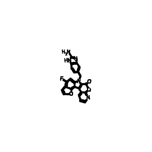 Nc1nc2cc(Cn3c4cc(F)c5ccoc5c4c4c5cccnc5oc(=O)c43)ccc2[nH]1